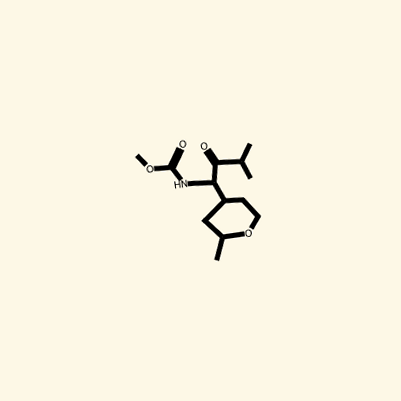 COC(=O)NC(C(=O)C(C)C)C1CCOC(C)C1